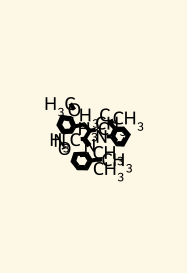 COc1ccc(N=O)cc1CC(/C(C)=N/c1ccccc1C(C)(C)C)/C(C)=N/c1ccccc1C(C)(C)C